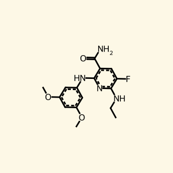 CCNc1nc(Nc2cc(OC)cc(OC)c2)c(C(N)=O)cc1F